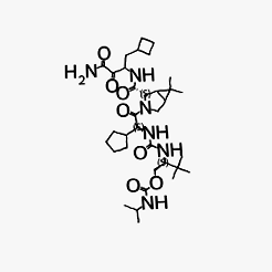 CC(C)NC(=O)OC[C@@H](NC(=O)N[C@H](C(=O)N1CC2C([C@H]1C(=O)NC(CC1CCC1)C(=O)C(N)=O)C2(C)C)C1CCCC1)C(C)(C)C